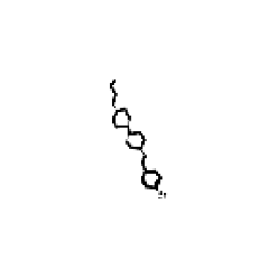 CCCC[C@H]1CC[C@H]([C@H]2CC[C@H](CCc3ccc(Br)cc3)CC2)CC1